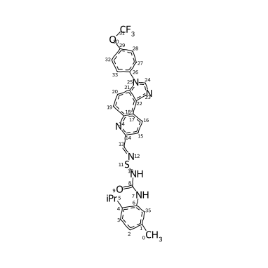 Cc1ccc(C(C)C)c(NC(=O)NS/N=C/c2ccc3c(ccc4c3ncn4-c3ccc(OC(F)(F)F)cc3)n2)c1